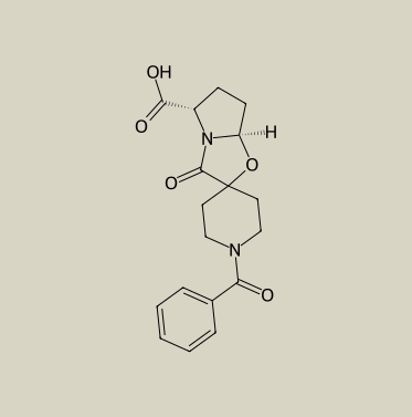 O=C(O)[C@@H]1CC[C@H]2OC3(CCN(C(=O)c4ccccc4)CC3)C(=O)N21